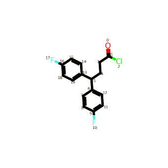 O=C(Cl)CCC(c1ccc(F)cc1)c1ccc(F)cc1